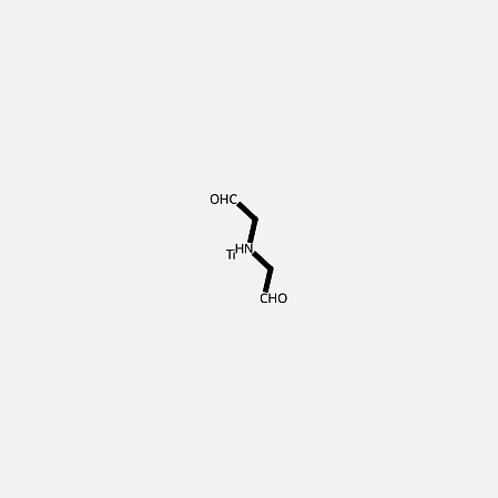 O=CCNCC=O.[Ti]